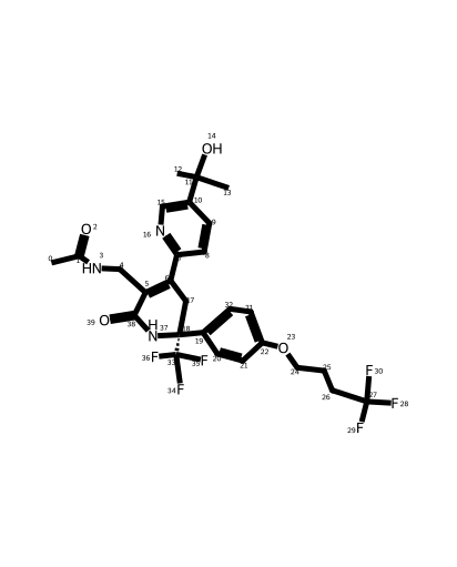 CC(=O)NCC1=C(c2ccc(C(C)(C)O)cn2)C[C@](c2ccc(OCCCC(F)(F)F)cc2)(C(F)(F)F)NC1=O